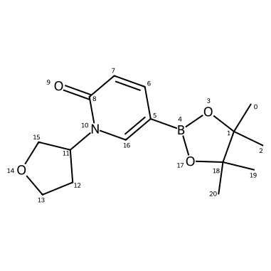 CC1(C)OB(c2ccc(=O)n(C3CCOC3)c2)OC1(C)C